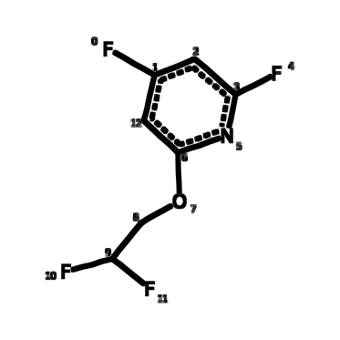 Fc1cc(F)nc(OCC(F)F)c1